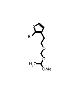 COC(C)OCOCCc1ccsc1Br